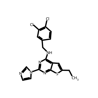 CCc1cc2c(NCc3ccc(Cl)c(Cl)c3)nc(-n3ccnc3)nc2s1